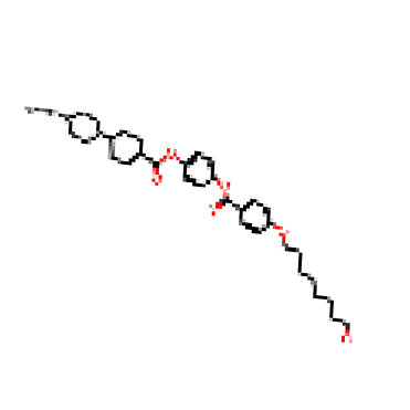 CCCCCC1CCC(C2CCC(C(=O)Oc3ccc(OC(=O)c4ccc(OCCCCCCCCO)cc4)cc3)CC2)CC1